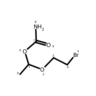 CC(OCCBr)OC(N)=O